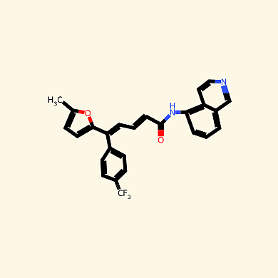 Cc1ccc(/C(=C/C=C/C(=O)Nc2cccc3cnccc23)c2ccc(C(F)(F)F)cc2)o1